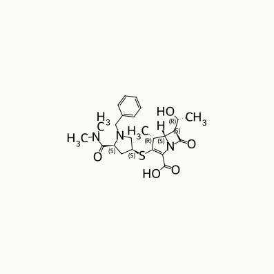 C[C@@H](O)[C@H]1C(=O)N2C(C(=O)O)=C(S[C@H]3C[C@@H](C(=O)N(C)C)N(Cc4ccccc4)C3)[C@H](C)[C@H]12